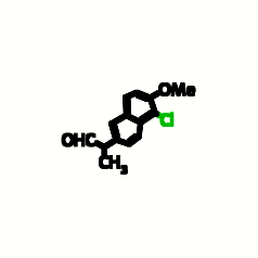 COc1ccc2cc(C(C)C=O)ccc2c1Cl